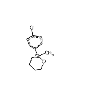 C[Si]1(c2ccc(Cl)cc2)CCCCO1